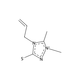 C=CCn1c([S-])n[n+](C)c1C